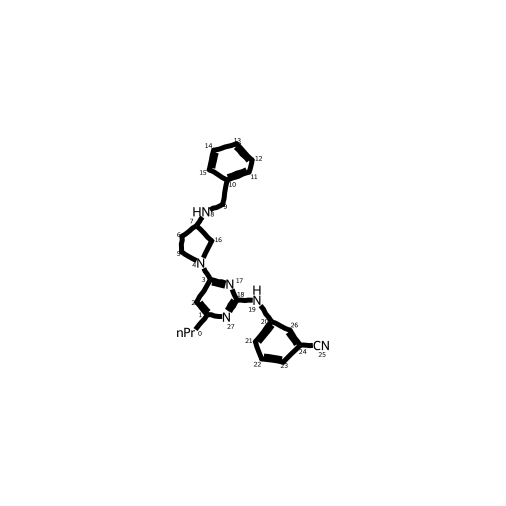 CCCc1cc(N2CCC(NCc3cc[c]cc3)C2)nc(Nc2cccc(C#N)c2)n1